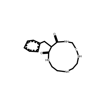 O=C1NCCNCCNCCNC(=O)C1Cc1ccccc1